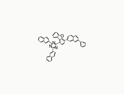 c1ccc(-c2ccc3ccc(-c4ccc(-c5nc(-c6ccc7ccccc7c6)nc(-c6ccc7ccccc7c6)n5)c5c4oc4ccccc45)cc3c2)cc1